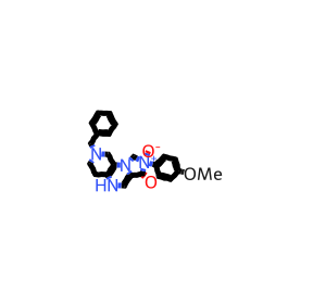 COc1ccc([N+]2([O-])CN3C(=CNC4=C3CN(Cc3ccccc3)CC4)C2=O)cc1